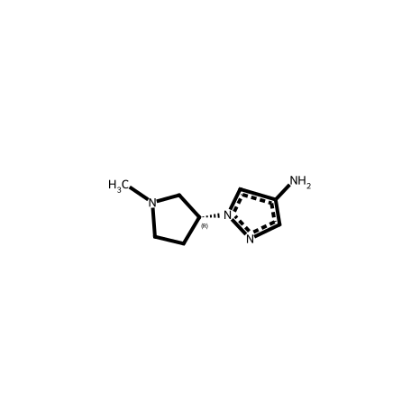 CN1CC[C@@H](n2cc(N)cn2)C1